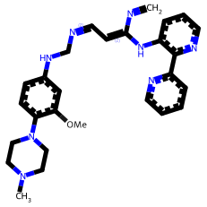 C=N/C(=C\C=N/CNc1ccc(N2CCN(C)CC2)c(OC)c1)Nc1cccnc1-c1ccccn1